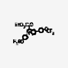 CCOC(=O)C(=O)c1cn(-c2ccc(OC(F)(F)F)cc2)c2ccc(-c3ccc(OC(F)(F)F)cc3)cc12